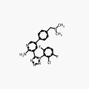 CN(C)Cc1ccc(-c2cnc(N)c(-c3nnnn3-c3c(F)ccc(F)c3Cl)c2)cc1